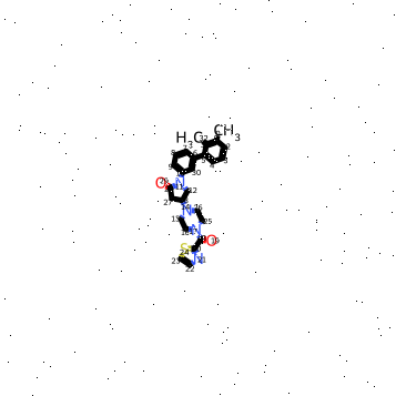 Cc1cccc(-c2cccc(N3CC(N4CCN(C(=O)c5nccs5)CC4)CC3=O)c2)c1C